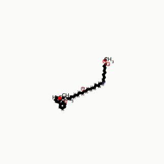 COC(=O)CCCCCCC/C=C\CCCCCCCCC(=O)CCCCCCCCO[Si](c1ccccc1)(c1ccccc1)C(C)(C)C